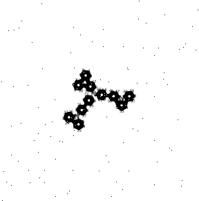 c1ccc2c(c1)c1ccccc1c1cc(N(c3ccc(-c4ccc(-n5c6ccccc6c6ccccc65)cc4)cc3)c3ccc(-c4ccc5c(c4)c4cccc6c7ccccc7n5c64)cc3)ccc21